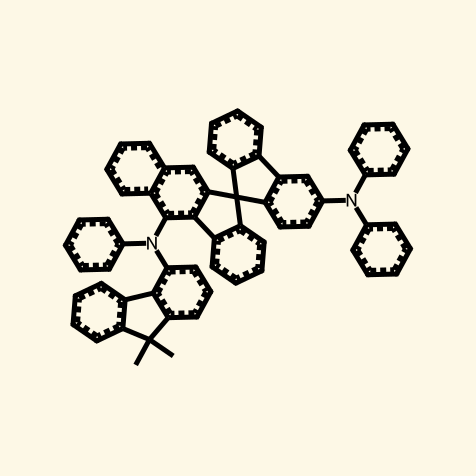 CC1(C)c2ccccc2-c2c(N(c3ccccc3)c3c4c(cc5ccccc35)C3(c5ccccc5-c5cc(N(c6ccccc6)c6ccccc6)ccc53)c3ccccc3-4)cccc21